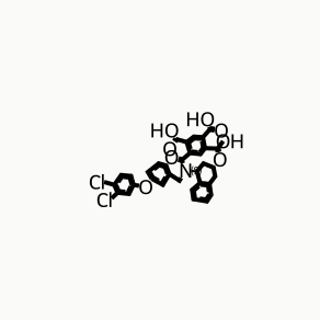 O=C(O)c1cc(C(=O)O)c(C(=O)N(Cc2cccc(Oc3ccc(Cl)c(Cl)c3)c2)[C@H]2CCCc3ccccc32)cc1C(=O)O